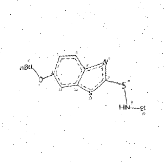 CCCCOc1ccc2nc(SNCC)sc2c1